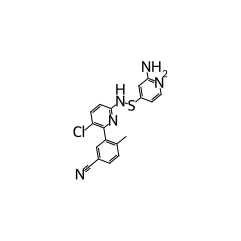 Cc1ccc(C#N)cc1-c1nc(NSc2ccnc(N)c2)ccc1Cl